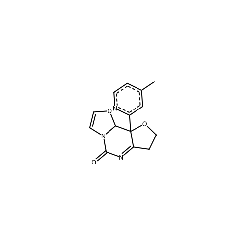 Cc1ccnc(C23OCCC2=NC(=O)N2C=COC23)c1